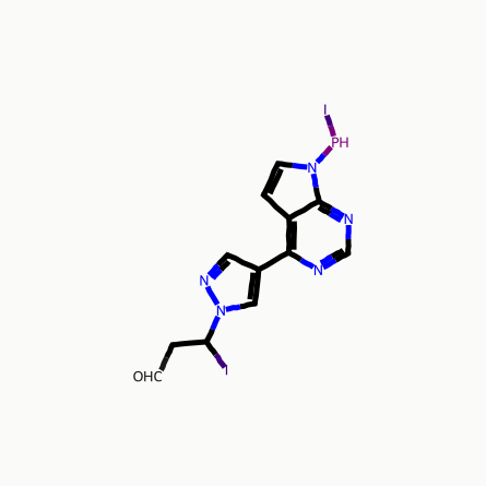 O=CCC(I)n1cc(-c2ncnc3c2ccn3PI)cn1